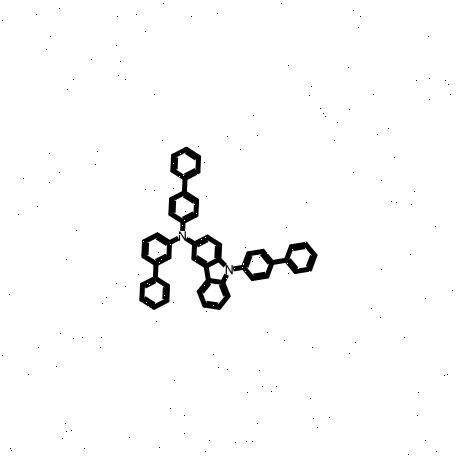 c1ccc(-c2ccc(N(c3cccc(-c4ccccc4)c3)c3ccc4c(c3)c3ccccc3n4-c3ccc(-c4ccccc4)cc3)cc2)cc1